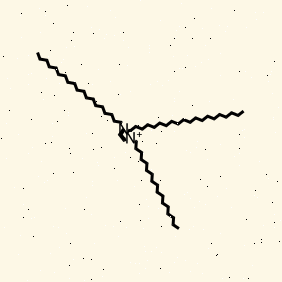 CCCCCCCCCCCCCCCCCCCc1n(CCCCCCCCCCCCCCCCCCC)cc[n+]1CCCCCCCCCCCCCCCCC